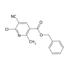 Cc1nc(Cl)c(C#N)cc1C(=O)OCc1ccccc1